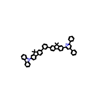 CC1(C)c2cc(-c3cccc(-c4ccc5c(c4)C(C)(C)c4cc(-n6c7ccccc7c7ccccc76)ccc4-5)c3)ccc2-c2ccc(-c3cc(-c4ccccc4)cc(-c4ccccc4)n3)cc21